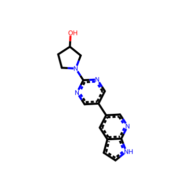 OC1CCN(c2ncc(-c3cnc4[nH]ccc4c3)cn2)C1